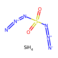 [N-]=[N+]=NS(=O)(=O)N=[N+]=[N-].[SiH4]